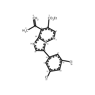 C=C(C)c1c(C(=O)OCC)cnn2c(-c3cc(Cl)cc(Cl)c3)cnc12